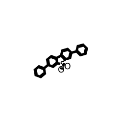 O=S1(=O)c2cc(-c3ccccc3)ccc2-c2ccc(-c3ccccc3)cc21